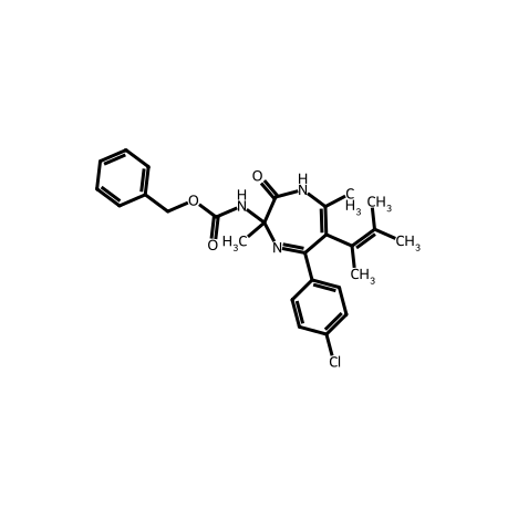 CC(C)=C(C)C1=C(C)NC(=O)C(C)(NC(=O)OCc2ccccc2)N=C1c1ccc(Cl)cc1